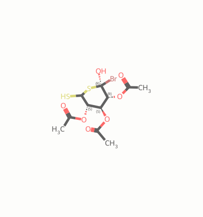 CC(=O)O[C@H]1[C@H](OC(C)=O)C(S)S[C@@](O)(Br)[C@@H]1OC(C)=O